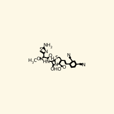 CON=C(C(=O)NC1C(=O)N2C(C(=O)O)=C(C=Cc3ccc(C#N)cc3C#N)CS[C@@H]12)c1csc(N)n1